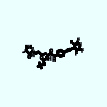 C[C@H](N)C(=O)NCCCC[C@H](NC(=O)OC(C)(C)C)C(=O)Nc1ccc(C#Cc2c(F)c(F)nc(F)c2F)cc1